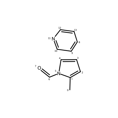 Cc1cccn1C=O.c1ccncc1